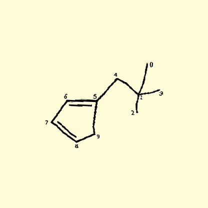 CC(C)(C)CC1=CC=CC1